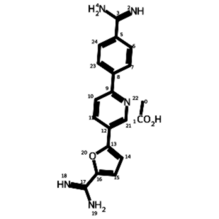 CC(=O)O.N=C(N)c1ccc(-c2ccc(-c3ccc(C(=N)N)o3)cn2)cc1